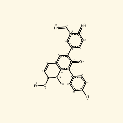 CCOC1C=Cc2cc(-c3ccc(=N)n(C=N)c3)c(=O)n(-c3ccc(Cl)cc3)c2N1C